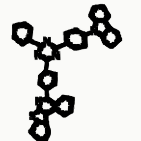 c1ccc(-c2nc(-c3ccc(-c4nc5sc6ccccc6c5c5ccccc45)cc3)nc(-c3ccc(-n4c5ccccc5c5ccccc54)cc3)n2)cc1